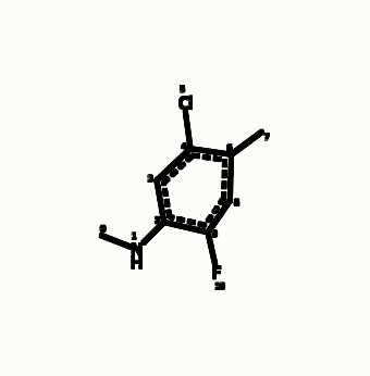 CNc1cc(Cl)c(C)cc1F